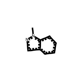 Cn1ncc2[c]cccc21